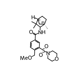 COCc1ccc(C(=O)NC2C(C)(C)[C@@H]3CC[C@]2(C)C3)cc1S(=O)(=O)N1CCOCC1